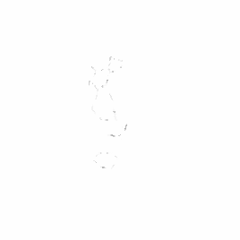 CCOC(=O)Oc1c[nH]c2c(=O)[nH]c3ccc(NS(=O)(=O)c4ccc(Cl)cc4)cc3c12